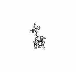 CCC(=O)NCCCO[C@H]1C(OC)O[C@H](C)CC1N(C)C